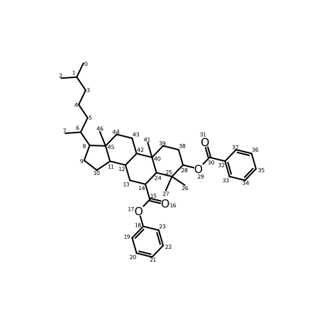 CC(C)CCCC(C)C1CCC2C3CC(C(=O)Oc4ccccc4)C4C(C)(C)C(OC(=O)c5ccccc5)CCC4(C)C3CCC12C